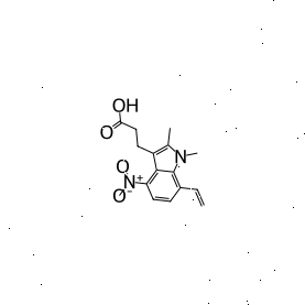 C=Cc1ccc([N+](=O)[O-])c2c(CCC(=O)O)c(C)n(C)c12